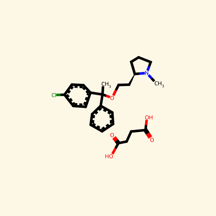 CN1CCC[C@@H]1CCOC(C)(c1ccccc1)c1ccc(Cl)cc1.O=C(O)CCC(=O)O